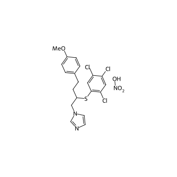 COc1ccc(CCC(Cn2ccnc2)Sc2cc(Cl)c(Cl)cc2Cl)cc1.O=[N+]([O-])O